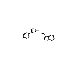 Brc1ccc(-c2csc(N/N=C/c3c[nH]c4ccccc34)n2)cc1